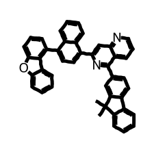 CC1(C)c2ccccc2-c2ccc(-c3nc(-c4ccc(-c5cccc6oc7ccccc7c56)c5ccccc45)cc4ncccc34)cc21